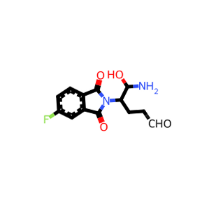 NC(O)C(CCC=O)N1C(=O)c2ccc(F)cc2C1=O